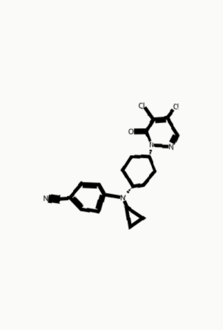 N#Cc1ccc(N(C2CC2)[C@H]2CC[C@@H](n3ncc(Cl)c(Cl)c3=O)CC2)cc1